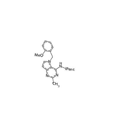 CCCC(C)Nc1nc(C)nc2ccn(Cc3ccccc3OC)c12